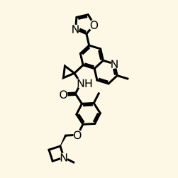 Cc1ccc2c(C3(NC(=O)c4cc(OC[C@@H]5CCN5C)ccc4C)CC3)cc(-c3ncco3)cc2n1